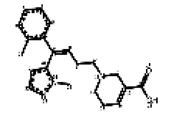 Cc1ccccc1C(=CCCN1CCC=C(C(=O)O)C1)c1ccnn1C